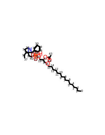 CCCCCCCCCCCCCCCCOCC(COP(=O)(O)OC1(c2ccccc2)N2CCC(CC)C21CC)OC(C)=O